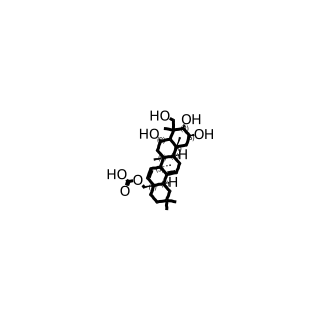 CC1(C)CC[C@]2(COC(=O)O)C=C[C@]3(C)C(=CC[C@@H]4[C@@]5(C)C[C@H](O)[C@H](O)C(C)(CO)C5[C@H](O)C[C@]43C)[C@H]2C1